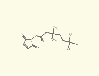 CCC(C)(CC)CCC(C)(C)CC(=O)ON1C(=O)C=CC1=O